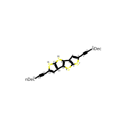 CCCCCCCCCCC#Cc1cc2c(s1)sc1c3cc(C#CCCCCCCCCCC)sc3sc21